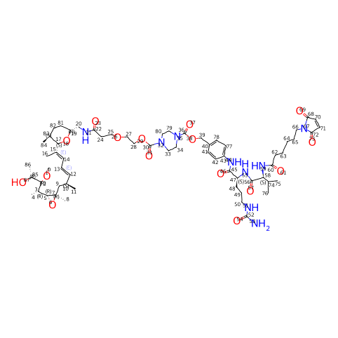 CO[C@H]([C@@H](C)[C@H]1O[C@]1(C)C[C@H](C)/C=C/C=C(\C)[C@H]1O[C@@H](CNC(=O)CCOCCOC(=O)N2CCN(C(=O)OCc3ccc(NC(=O)[C@H](CCCNC(N)=O)NC(=O)[C@@H](NC(=O)CCCCCN4C(=O)C=CC4=O)C(C)C)cc3)CC2)CC[C@@H]1C)[C@@H](C)O